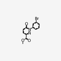 COC(=O)c1ccc(=O)n(-c2cccc(Br)c2)n1